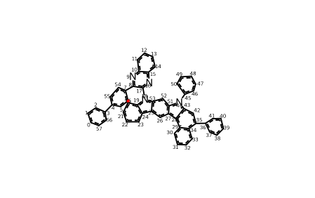 c1ccc(-c2ccc(-c3nc4ccccc4nc3-n3c4ccccc4c4cc5c6c7ccccc7c(-c7ccccc7)cc6n(-c6ccccc6)c5cc43)cc2)cc1